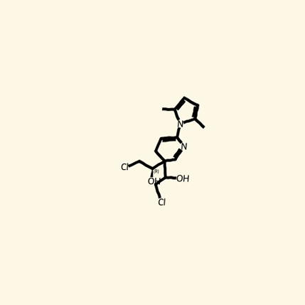 Cc1ccc(C)n1C1=CCC(C(O)CCl)([C@@H](O)CCl)C=N1